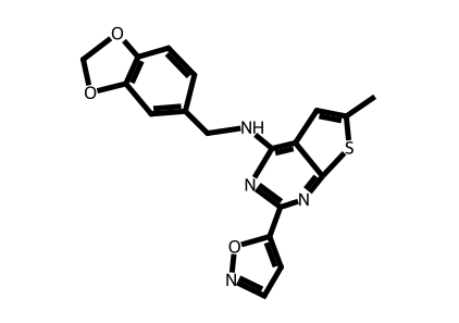 Cc1cc2c(NCc3ccc4c(c3)OCO4)nc(-c3ccno3)nc2s1